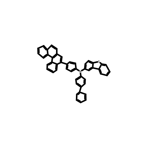 c1ccc(-c2ccc(N(c3ccc(-c4cc5ccc6ccccc6c5c5ccccc45)cc3)c3ccc4sc5ccccc5c4c3)cc2)cc1